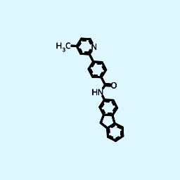 Cc1ccnc(-c2ccc(C(=O)Nc3ccc4c(c3)Cc3ccccc3-4)cc2)c1